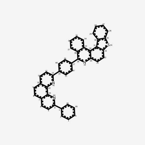 c1ccc(-c2ccc3ccc4ccc(-c5ccc(-c6nc7ccc8sc9ccccc9c8c7c7ccccc67)cc5)nc4c3n2)cc1